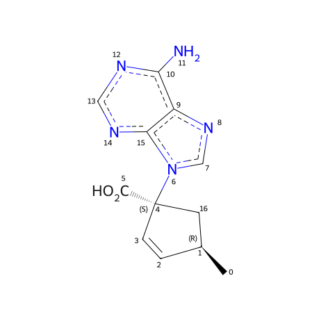 C[C@H]1C=C[C@@](C(=O)O)(n2cnc3c(N)ncnc32)C1